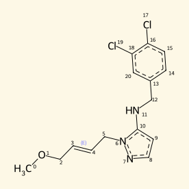 COC/C=C/Cn1nccc1NCc1ccc(Cl)c(Cl)c1